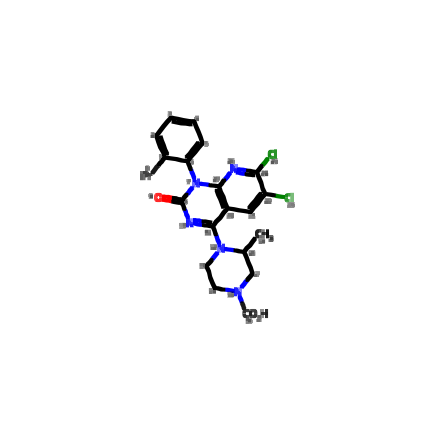 CC(C)c1ccccc1-n1c(=O)nc(N2CCN(C(=O)O)CC2C)c2cc(Cl)c(Cl)nc21